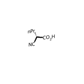 CCC[C@@H](C#N)C(=O)O